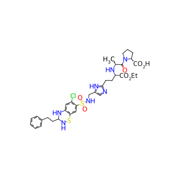 CCOC(=O)C(CCc1ncc(CNS(=O)(=O)c2cc3c(cc2Cl)NC(CCc2ccccc2)NS3)[nH]1)N[C@@H](C)C(=O)N1CCC[C@H]1C(=O)O